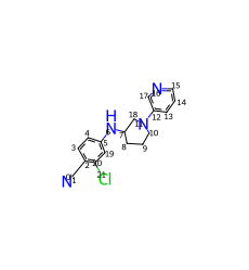 N#Cc1ccc(NC2CCCN(c3cccnc3)C2)cc1Cl